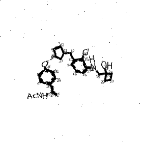 CC(=O)N[C@@H](C)c1ccc(O[C@@H]2CCC(Cc3cccc(NCC4(O)CCC4)c3Cl)C2)cc1